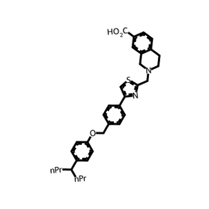 CCCC(CCC)c1ccc(OCc2ccc(-c3csc(CN4CCc5ccc(C(=O)O)cc5C4)n3)cc2)cc1